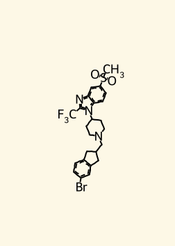 CS(=O)(=O)c1ccc2c(c1)nc(C(F)(F)F)n2C1CCN(CC2Cc3ccc(Br)cc3C2)CC1